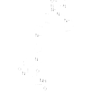 NC(=O)c1ncc(N2CCCCC2)nc1Nc1ccc(C2CCN(C[C@@H]3CC[C@H](n4ccc5c6c(C7CCC(=O)NC7=O)noc6ccc54)C3)CC2)cc1